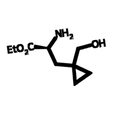 CCOC(=O)[C@@H](N)CC1(CO)CC1